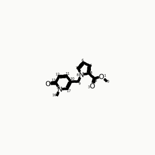 COC(=O)c1cccn1Cc1ccc(=O)n(C)c1